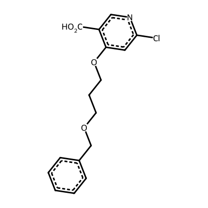 O=C(O)c1cnc(Cl)cc1OCCCOCc1ccccc1